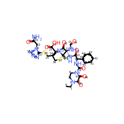 CCN1CCN(C(=O)NC(C(=O)N[C@@]2(NC=O)C(=O)N3C(C(=O)O)=C(CSc4nnnn4CC(N)=O)CS[C@H]32)c2ccccc2)C(=O)C1=O